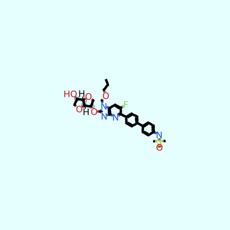 CCCOCn1c(O[C@@H]2CO[C@H]3[C@@H]2OC[C@H]3O)nc2nc(-c3ccc(-c4ccc(N=S(C)(C)=O)cc4)cc3)c(F)cc21